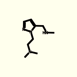 CNCc1ccnn1CCN(C)C